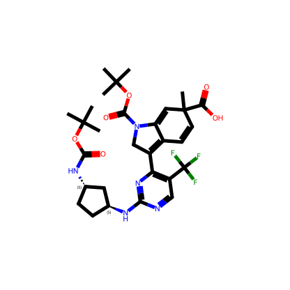 CC(C)(C)OC(=O)N[C@H]1CC[C@H](Nc2ncc(C(F)(F)F)c(C3=C4C=CC(C)(C(=O)O)C=C4N(C(=O)OC(C)(C)C)C3)n2)C1